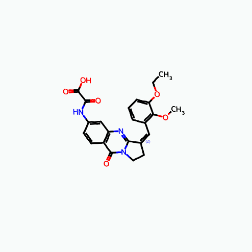 CCOc1cccc(/C=C2/CCn3c2nc2cc(NC(=O)C(=O)O)ccc2c3=O)c1OC